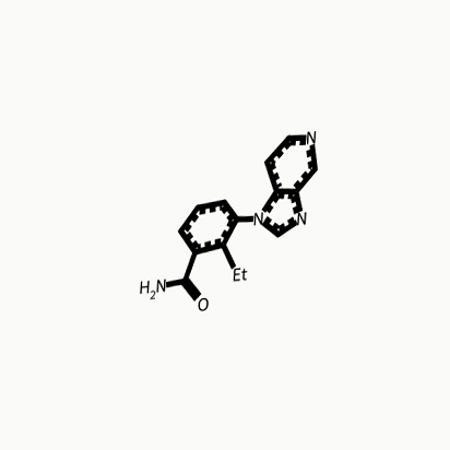 CCc1c(C(N)=O)cccc1-n1cnc2cnccc21